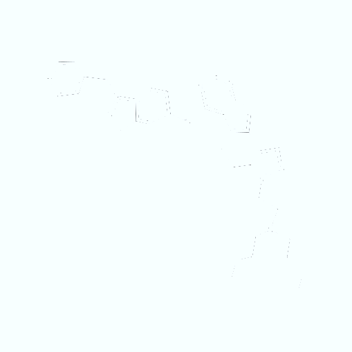 COCCN(CCOC)CCn1ncc2c1CCc1c-2sc2ncnc(Nc3ccc4c(cnn4Cc4cccc(F)c4)c3)c12